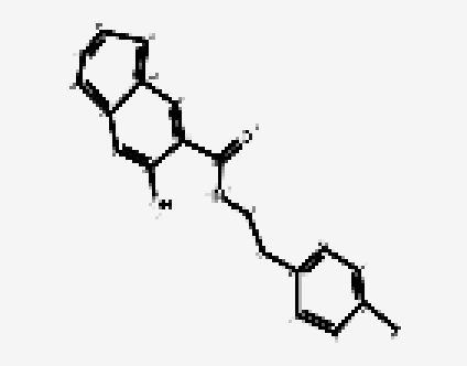 Cc1ccc(CCNC(=O)c2cc3ccccc3cc2O)cc1